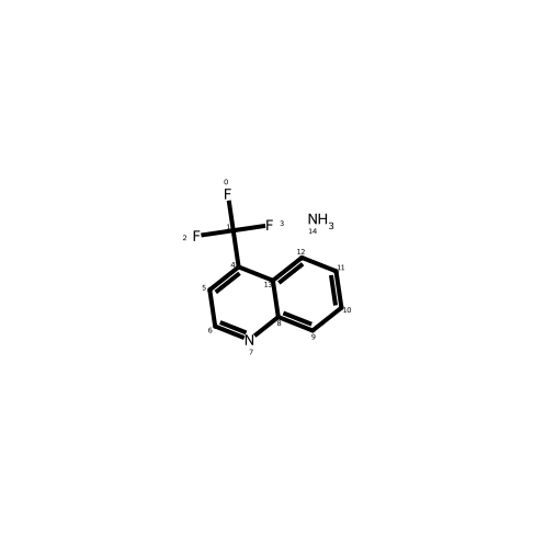 FC(F)(F)c1ccnc2ccccc12.N